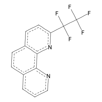 FC(F)(F)C(F)(F)c1ccc2ccc3cccnc3c2n1